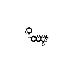 CC1(C)OC(=O)C(=Cc2ccc(OC3CCCCO3)cc2)C(=O)O1